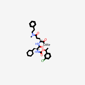 COC(=O)[C@H](CCC(=O)N(C)CCc1ccccc1)NC(=O)[C@H](CC1CCCCC1)NC(=O)OC(C)c1cccc(Cl)c1